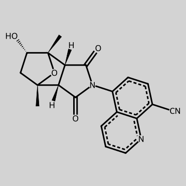 C[C@@]12O[C@@](C)(C[C@@H]1O)[C@H]1C(=O)N(c3ccc(C#N)c4ncccc34)C(=O)[C@H]12